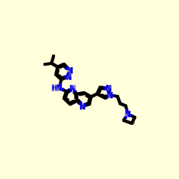 CC(C)c1cnnc(Nc2ccc3ncc(-c4cnn(CCCN5C[CH]C5)c4)cc3n2)c1